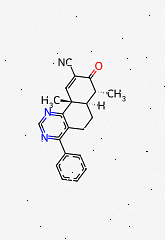 C[C@H]1C(=O)C(C#N)=C[C@@]2(C)c3ncnc(-c4ccccc4)c3CC[C@H]12